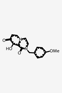 COc1ccc(Cn2ccn3ccc(=O)c(O)c3c2=O)cc1